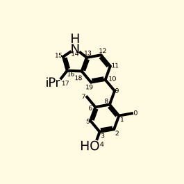 Cc1cc(O)cc(C)c1Cc1ccc2[nH]cc(C(C)C)c2c1